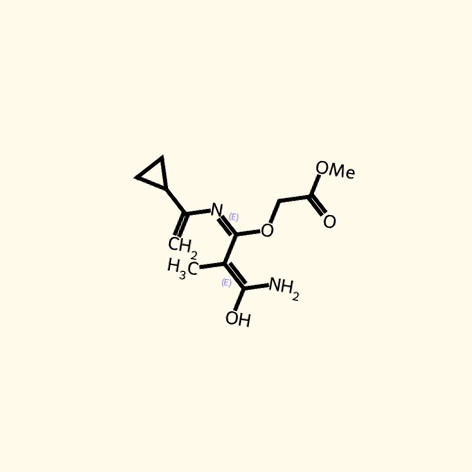 C=C(/N=C(OCC(=O)OC)\C(C)=C(/N)O)C1CC1